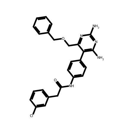 Nc1nc(N)c(-c2ccc(NC(=O)Cc3cccc(Cl)c3)cc2)c(COCc2ccccc2)n1